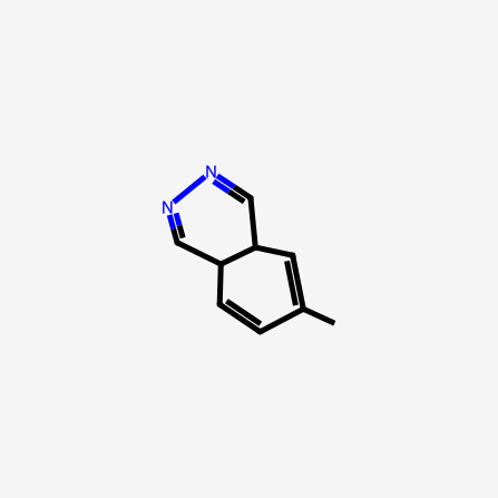 CC1=CC2C=NN=CC2C=C1